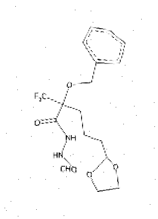 O=CNNC(=O)C(CCCC1OCCO1)(OCc1ccccc1)C(F)(F)F